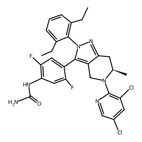 CCc1cccc(CC)c1-n1nc2c(c1-c1cc(F)c(NC(N)=O)cc1F)CN(c1ncc(Cl)cc1Cl)[C@H](C)C2